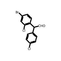 O=CC(c1ccc(Cl)cc1)c1ccc(Br)cc1Cl